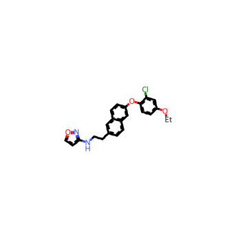 CCOc1ccc(Oc2ccc3cc(CCNc4ccon4)ccc3c2)c(Cl)c1